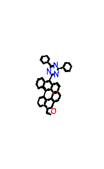 c1ccc(-c2nc(-c3ccccc3)nc(-c3c4ccccc4c(-c4cccc5c6ccoc6c6ccccc6c45)c4ccccc34)n2)cc1